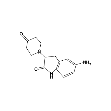 Nc1ccc2c(c1)CC(N1CCC(=O)CC1)C(=O)N2